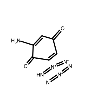 NC1=CC(=O)C=CC1=O.[N-]=[N+]=N.[N-]=[N+]=[N-]